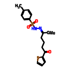 COC(CCCC(=O)c1cccs1)=NNS(=O)(=O)c1ccc(C)cc1